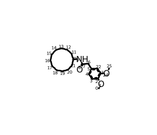 COc1ccc(CC(=O)NC2CCCCCCCCCCC2)cc1OC